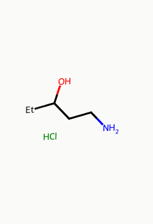 CCC(O)CCN.Cl